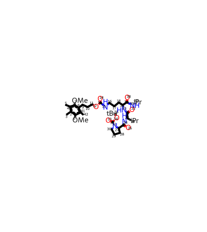 COc1c(C)c(C)c(OC)c(CCCOC(=O)NCCCC(NC(=O)C(NC(=O)C2CCCN2C(=O)OC(C)(C)C)C(C)C)C(=O)NC(C)C)c1C